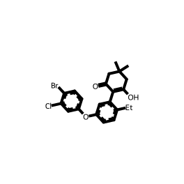 CCc1ccc(Oc2ccc(Br)c(Cl)c2)cc1C1=C(O)CC(C)(C)CC1=O